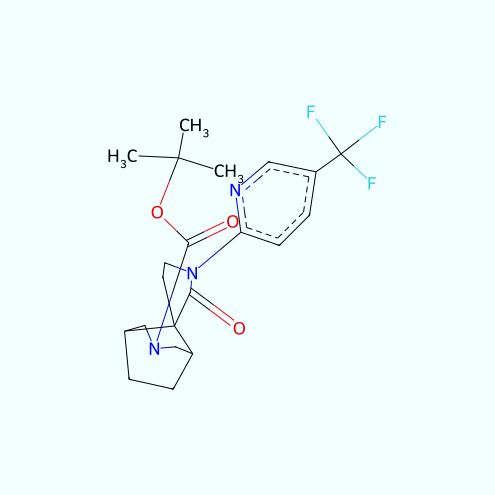 CC(C)(C)OC(=O)N1CC2CCC(C1)C21CCN(c2ccc(C(F)(F)F)cn2)C1=O